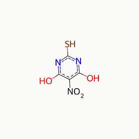 O=[N+]([O-])c1c(O)nc(S)nc1O